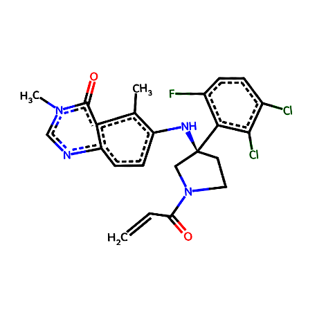 C=CC(=O)N1CC[C@@](Nc2ccc3ncn(C)c(=O)c3c2C)(c2c(F)ccc(Cl)c2Cl)C1